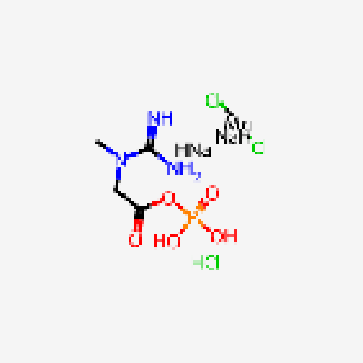 CN(CC(=O)OP(=O)(O)O)C(=N)N.Cl.[Cl][Mg][Cl].[NaH].[NaH]